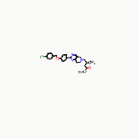 COC(=O)CC(C)CN1CCc2nc(-c3ccc(OCc4ccc(Cl)cc4)cc3)ncc2C1